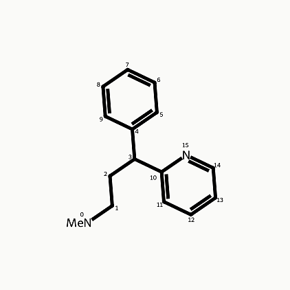 CNCCC(c1ccccc1)c1ccccn1